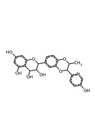 CC1Oc2ccc(C3Oc4cc(O)cc(O)c4C(O)C3O)cc2OC1c1ccc(O)cn1